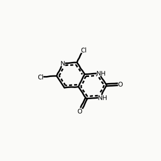 O=c1[nH]c(=O)c2cc(Cl)nc(Cl)c2[nH]1